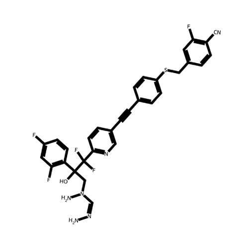 N#Cc1ccc(CSc2ccc(C#Cc3ccc(C(F)(F)C(O)(CN(N)/C=N\N)c4ccc(F)cc4F)nc3)cc2)cc1F